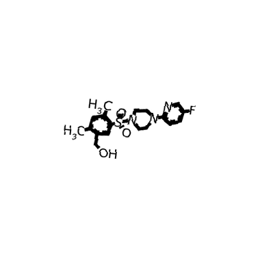 Cc1cc(C)c(S(=O)(=O)N2CCN(c3ccc(F)cn3)CC2)cc1CO